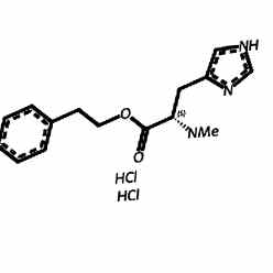 CN[C@@H](Cc1c[nH]cn1)C(=O)OCCc1ccccc1.Cl.Cl